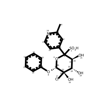 Cc1cc(C2(S(=O)(=O)O)O[C@@H](Oc3ccccc3)[C@@](O)(Cl)[C@@H](O)[C@@H]2O)ccn1